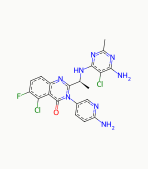 Cc1nc(N)c(Cl)c(N[C@@H](C)c2nc3ccc(F)c(Cl)c3c(=O)n2-c2ccc(N)nc2)n1